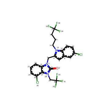 O=c1n(Cc2cc3cc(Cl)ccc3n2CCCC(F)(F)F)c2cccc(Cl)c2n1CC(F)(F)F